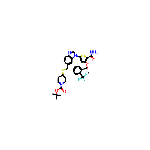 C[C@@H](Oc1cc(-n2cnc3ccc(CSC4CCN(C(=O)OC(C)(C)C)CC4)cc32)sc1C(N)=O)c1ccccc1C(F)(F)F